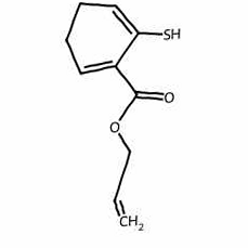 C=CCOC(=O)C1=CCCC=C1S